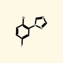 Fc1ccc(Br)c(-n2cncn2)c1